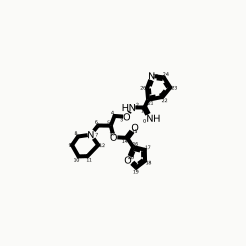 N=C(NOCC(CN1CCCCC1)OC(=O)c1ccco1)c1cccnc1